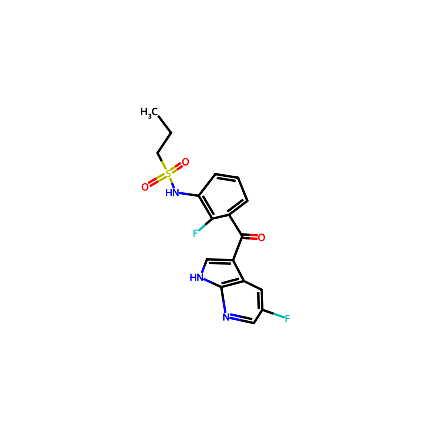 CCCS(=O)(=O)Nc1cccc(C(=O)c2c[nH]c3ncc(F)cc23)c1F